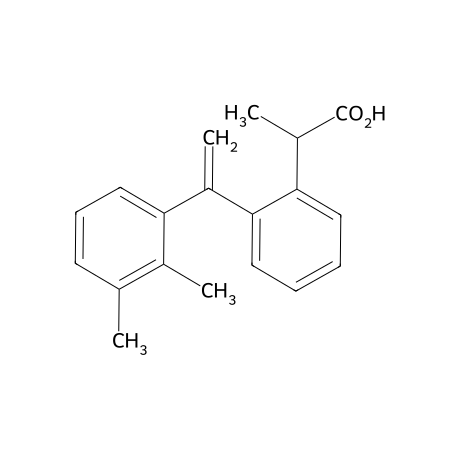 C=C(c1ccccc1C(C)C(=O)O)c1cccc(C)c1C